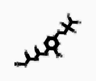 COC(=O)NC(=S)Nc1ccc(SCC(F)(F)C(F)F)cc1N